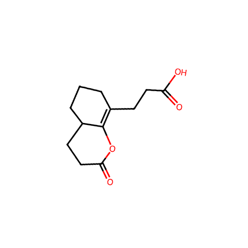 O=C(O)CCC1=C2OC(=O)CCC2CCC1